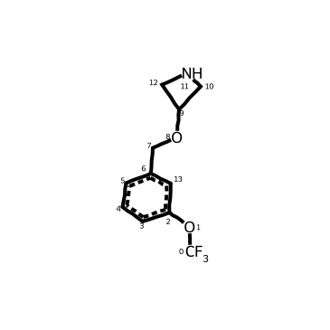 FC(F)(F)Oc1cccc(COC2CNC2)c1